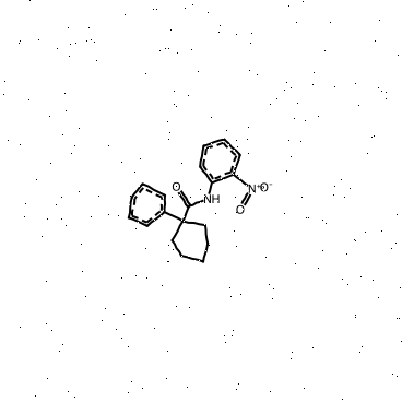 O=C(Nc1ccccc1[N+](=O)[O-])C1(c2ccccc2)CCCCC1